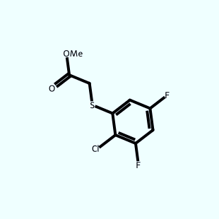 COC(=O)CSc1cc(F)cc(F)c1Cl